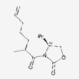 C=CCCCC(C)C(=O)N1C(=O)OC[C@@H]1C(C)C